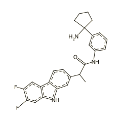 CC(C(=O)Nc1cccc(C2(N)CCCC2)c1)c1ccc2c(c1)[nH]c1cc(F)c(F)cc12